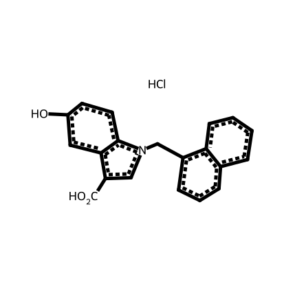 Cl.O=C(O)c1cn(Cc2cccc3ccccc23)c2ccc(O)cc12